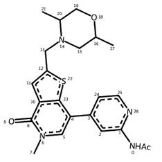 CC(=O)Nc1cc(-c2cn(C)c(=O)c3cc(CN4CC(C)OCC4C)sc23)ccn1